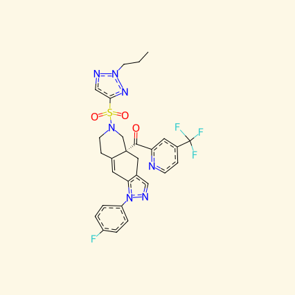 CCCn1ncc(S(=O)(=O)N2CCC3=Cc4c(cnn4-c4ccc(F)cc4)C[C@]3(C(=O)c3cc(C(F)(F)F)ccn3)C2)n1